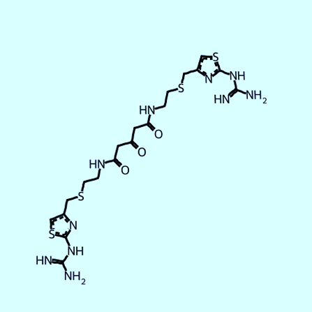 N=C(N)Nc1nc(CSCCNC(=O)CC(=O)CC(=O)NCCSCc2csc(NC(=N)N)n2)cs1